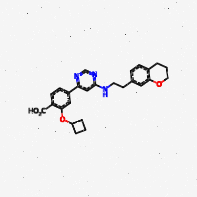 O=C(O)c1ccc(-c2cc(NCCc3ccc4c(c3)OCCC4)ncn2)cc1OC1CCC1